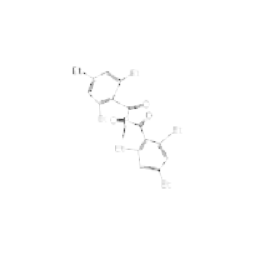 CCc1cc(CC)c(C(=O)P(C)(=O)C(=O)c2c(CC)cc(CC)cc2CC)c(CC)c1